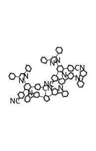 Cc1c(-c2ccc3c(c2)c2ccccc2n3-c2ccc3c(c2)c2cc(-n4c5ccccc5c5ccccc54)ccc2n3-c2c(-c3ccc(C#N)cc3)cc(-c3nc(-c4ccccc4)cc(-c4ccccc4)n3)cc2-c2ccc(C#N)cc2)cccc1-c1ccc2c(c1)c1ccccc1n2-c1c(-c2ccc(C#N)cc2)cc(-c2nc(-c3ccccc3)cc(-c3ccccc3)n2)cc1-c1ccc(C#N)cc1